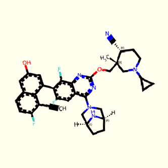 C#Cc1c(F)ccc2cc(O)cc(-c3c(F)cc4c(N5C[C@H]6CC[C@@H](C5)N6)nc(OC[C@@]5(C)CN(C6CC6)CC[C@H]5C#N)nc4c3F)c12